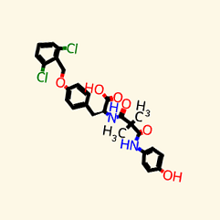 CC(C)(C(=O)Nc1ccc(O)cc1)C(=O)N[C@@H](Cc1ccc(OCc2c(Cl)cccc2Cl)cc1)C(=O)O